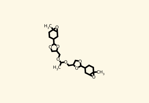 CC(OCC1COC(C2CCC3(C)OC3C2)O1)OCC1COC(C2CCC3(C)OC3C2)O1